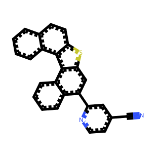 N#Cc1ccnc(-c2cc3sc4ccc5ccccc5c4c3c3ccccc23)c1